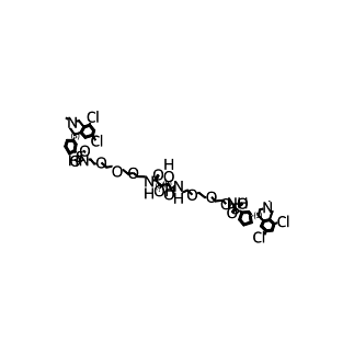 CN1Cc2c(Cl)cc(Cl)cc2[C@H](c2cccc(S(=O)(=O)NCCOCCOCCOCCNC(=O)[C@@H](O)[C@H](O)C(=O)NCCOCCOCCONS(=O)(=O)c3cccc([C@@H]4CN(C)Cc5c(Cl)cc(Cl)cc54)c3)c2)C1